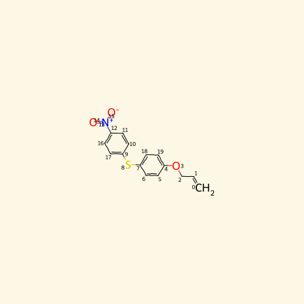 C=CCOc1ccc(Sc2ccc([N+](=O)[O-])cc2)cc1